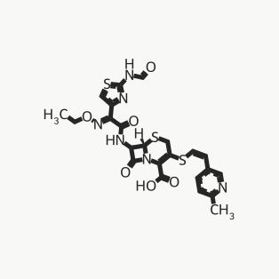 CCON=C(C(=O)NC1C(=O)N2C(C(=O)O)=C(S/C=C\c3ccc(C)nc3)CS[C@@H]12)c1csc(NC=O)n1